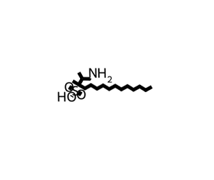 CCCCCCCCCCCCC(C)(C(C)CN)S(=O)(=O)O